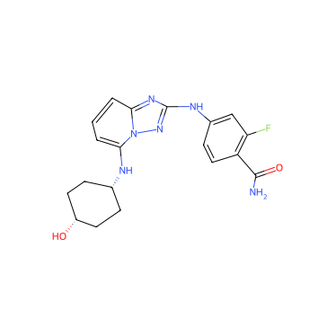 NC(=O)c1ccc(Nc2nc3cccc(N[C@H]4CC[C@@H](O)CC4)n3n2)cc1F